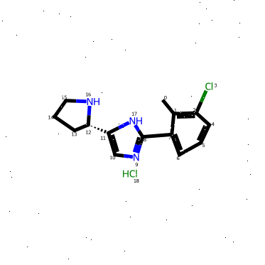 Cc1c(Cl)cccc1-c1ncc([C@@H]2CCCN2)[nH]1.Cl